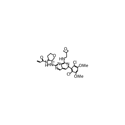 C=CC(=O)N[C@H]1CCOC[C@H]1Nc1ncc2cc(-c3c(Cl)c(OC)cc(OC)c3Cl)nc(NCC3COC3)c2n1